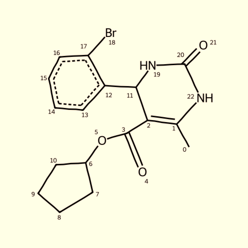 CC1=C(C(=O)OC2CCCC2)C(c2ccccc2Br)NC(=O)N1